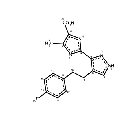 Cc1nc(-c2n[nH]cc2CCc2ccc(F)cc2)sc1C(=O)O